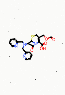 O=COCC1=C(C(=O)O)N2C(=O)C(N(Cc3ccccn3)Cc3ccccn3)C2SC1